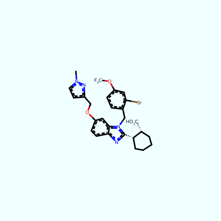 Cn1ccc(COc2ccc3nc([C@H]4CCCC[C@H]4C(=O)O)n(Cc4ccc(OC(F)(F)F)cc4Br)c3c2)n1